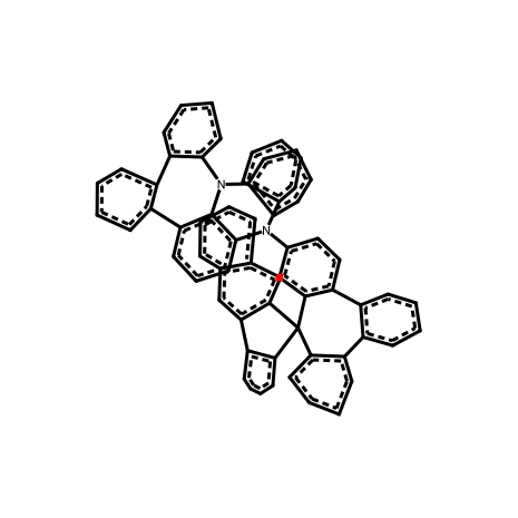 c1ccc(N(c2ccc3c(c2)C2(c4ccccc4-c4ccccc4-3)c3ccccc3-c3cc4ccccc4cc32)c2cccc3c2N(c2ccccc2)c2ccccc2-c2ccccc2-3)cc1